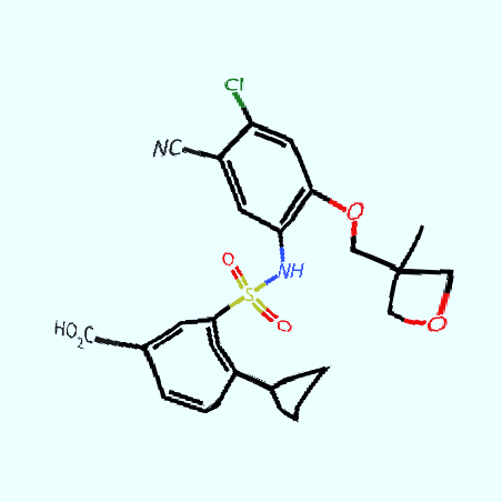 CC1(COc2cc(Cl)c(C#N)cc2NS(=O)(=O)c2cc(C(=O)O)ccc2C2CC2)COC1